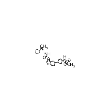 CN(CCNC(=O)Cn1ccc2ccc(-c3ccc(NS(C)(=O)=O)cc3)cc21)C1CCCCC1